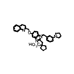 O=C(O)C1(Cc2nc3cc(OCc4ccc5ccccc5n4)ccc3n2Cc2cccc(N3CCCC3)c2)CCCC1